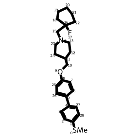 CSc1ccc(-c2ccc(OCC3CCN(CC4(F)CCCCC4)CC3)cc2)cc1